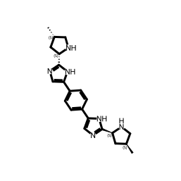 C[C@@H]1CN[C@H](c2ncc(-c3ccc(-c4cnc([C@@H]5C[C@H](C)CN5)[nH]4)cc3)[nH]2)C1